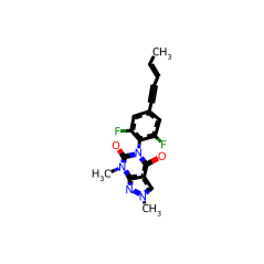 C/C=C/C#Cc1cc(F)c(-n2c(=O)c3cn(C)nc3n(C)c2=O)c(F)c1